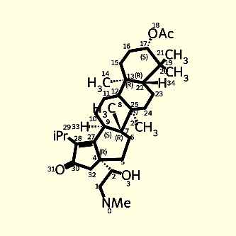 CNCC(O)[C@@]12CC[C@]3(C)[C@H](CCC4[C@@]5(C)CC[C@H](OC(C)=O)C(C)(C)[C@@H]5CC[C@]43C)C1=C(C(C)C)C(=O)C2